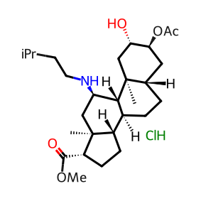 COC(=O)[C@H]1CC[C@H]2[C@@H]3CC[C@H]4C[C@H](OC(C)=O)[C@@H](O)C[C@]4(C)[C@H]3[C@H](NCCC(C)C)C[C@]12C.Cl